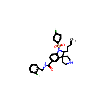 C=CCCC1N(S(=O)(=O)c2ccc(F)cc2)c2ccc(C(=O)NCc3ccccc3Cl)cc2C12CCNCC2